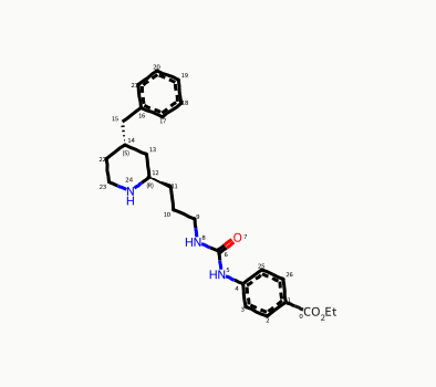 CCOC(=O)c1ccc(NC(=O)NCCC[C@@H]2C[C@@H](Cc3ccccc3)CCN2)cc1